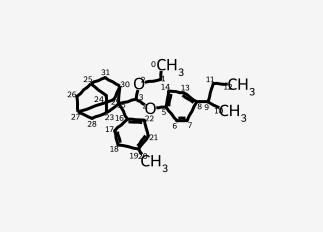 CCOC(Oc1ccc(C(C)CC)cc1)C1(c2ccc(C)cc2)C2CC3CC(C2)CC1C3